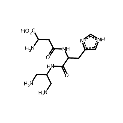 NCC(CN)NC(=O)C(Cc1c[nH]cn1)NC(=O)CC(N)C(=O)O